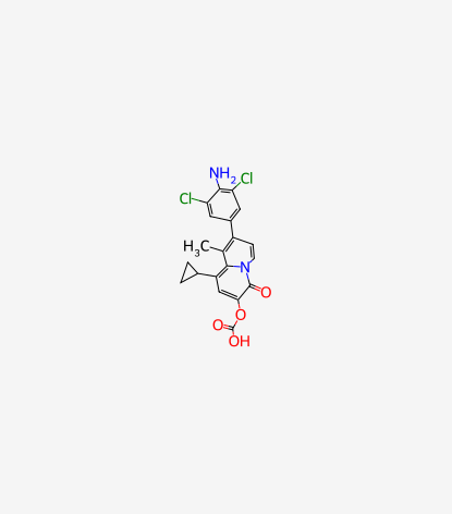 Cc1c(-c2cc(Cl)c(N)c(Cl)c2)ccn2c(=O)c(OC(=O)O)cc(C3CC3)c12